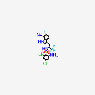 N#Cc1c(F)ccc2c(CC(NS(=O)(=O)c3c(N)cc(Cl)cc3Cl)C(F)(F)F)c[nH]c12